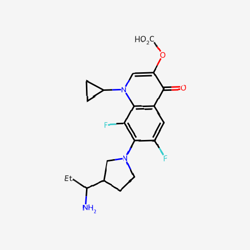 CCC(N)C1CCN(c2c(F)cc3c(=O)c(OC(=O)O)cn(C4CC4)c3c2F)C1